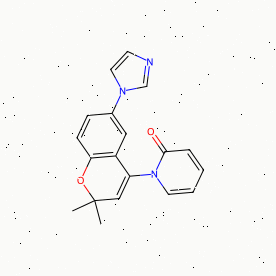 CC1(C)C=C(n2ccccc2=O)c2cc(-n3ccnc3)ccc2O1